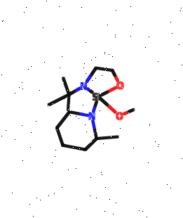 CO[Si]1(N2CCCCC2C)OCCN1C(C)(C)C